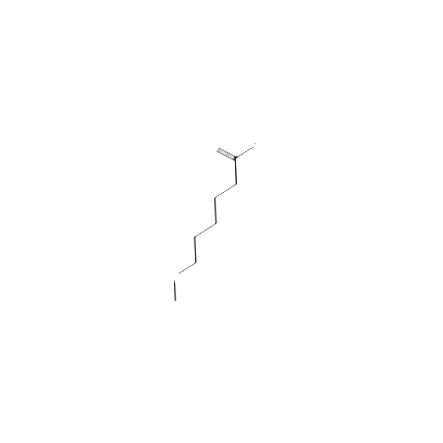 COCCCCCC(N)=O